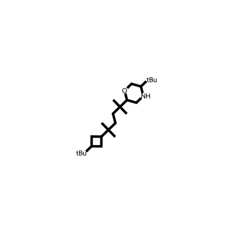 CC(C)(C)C1CC(C(C)(C)CCC(C)(C)C2CNC(C(C)(C)C)CO2)C1